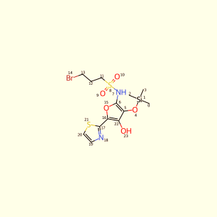 C[Si](C)(C)Oc1c(NS(=O)(=O)CCCBr)oc(-c2nccs2)c1O